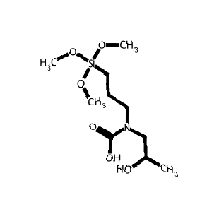 CO[Si](CCCN(CC(C)O)C(=O)O)(OC)OC